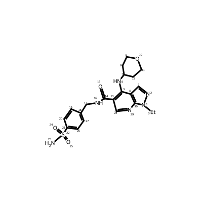 CCn1ncc2c(NC3CCOCC3)c(C(=O)NCc3ccc(S(N)(=O)=O)cc3)cnc21